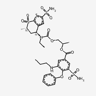 CCCNc1cc(C(=O)OC(C)COC(=O)N(CC)[C@H]2C[C@H](C)S(=O)(=O)c3sc(S(N)(=O)=O)cc32)cc(S(N)(=O)=O)c1Oc1ccccc1